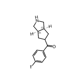 O=C(c1ccc(F)cc1)C1C[C@H]2CNC[C@H]2C1